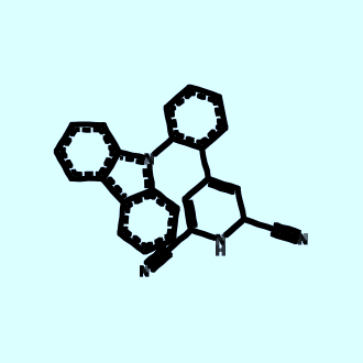 N#CC1=CC(c2ccccc2-n2c3ccccc3c3ccccc32)=CC(C#N)N1